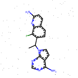 [CH2]C(c1ccc2ccc(N)nc2c1F)n1ccc2c(N)ncnc21